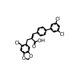 O=C(O)C(=Cc1ccc(-c2cc(Cl)cc(Cl)c2)cc1)Cc1cc2c(cc1Cl)OCO2